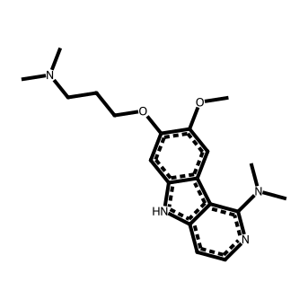 COc1cc2c(cc1OCCCN(C)C)[nH]c1ccnc(N(C)C)c12